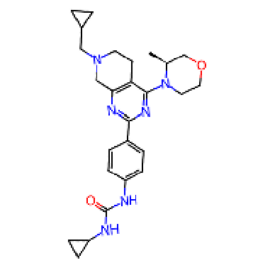 C[C@H]1COCCN1c1nc(-c2ccc(NC(=O)NC3CC3)cc2)nc2c1CCN(CC1CC1)C2